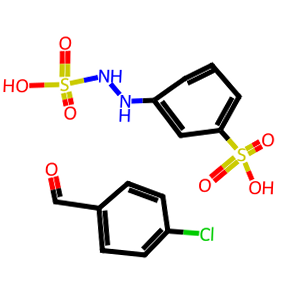 O=Cc1ccc(Cl)cc1.O=S(=O)(O)NNc1cccc(S(=O)(=O)O)c1